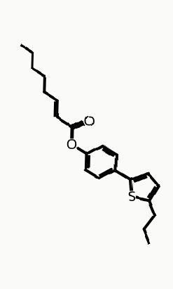 CCCCCC=CC(=O)Oc1ccc(-c2ccc(CCC)s2)cc1